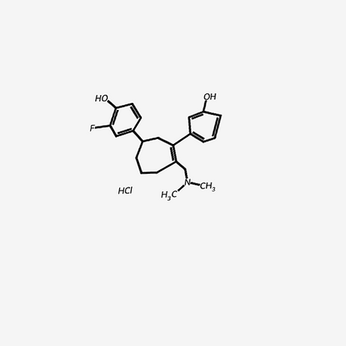 CN(C)CC1=C(c2cccc(O)c2)CC(c2ccc(O)c(F)c2)CCC1.Cl